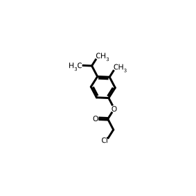 Cc1cc(OC(=O)CCl)ccc1C(C)C